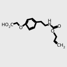 C=CCOC(=O)NCCc1ccc(OCC(=O)O)cc1